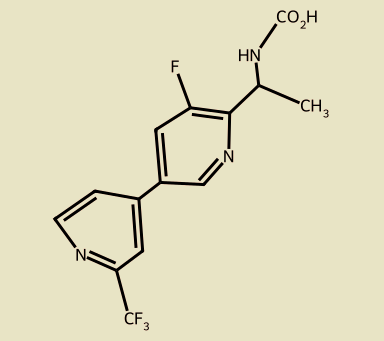 CC(NC(=O)O)c1ncc(-c2ccnc(C(F)(F)F)c2)cc1F